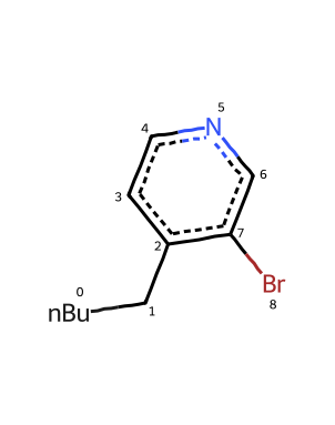 CCCCCc1ccncc1Br